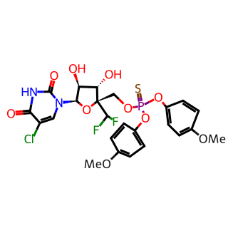 COc1ccc(OP(=S)(OC[C@@]2(C(F)F)O[C@@H](n3cc(Cl)c(=O)[nH]c3=O)[C@@H](O)[C@@H]2O)Oc2ccc(OC)cc2)cc1